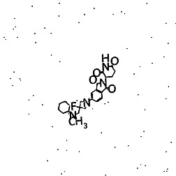 CN(CC1(F)CN(c2ccc3c(c2)C(=O)N(C2CCC(=O)NC2=O)C3=O)C1)C1CCCCC1